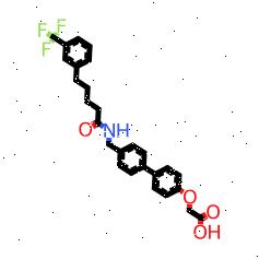 O=C(O)COc1ccc(-c2ccc(CNC(=O)CCCCc3cccc(C(F)(F)F)c3)cc2)cc1